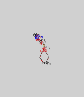 CCCCCCCC/C=C\CCCCCCCC(=O)OCC(COC(=O)CCCCCCC/C=C\CCCCCCCC)OC(=O)CC(C)CSCCCC(=O)Oc1c(C)cc(COC(=O)n2ccc3c(N(C)[C@H]4CN(C(=O)CC#N)CC[C@H]4C)ncnc32)cc1C